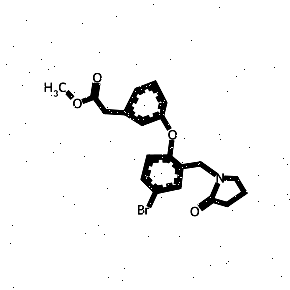 COC(=O)Cc1cccc(Oc2ccc(Br)cc2CN2CCCC2=O)c1